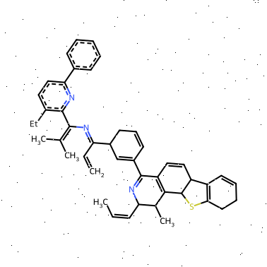 C=C/C(=N\C(=C(C)C)c1nc(-c2ccccc2)ccc1CC)C1C=C(C2=NC(/C=C\C)C(C)C3=C2C=CC2C4=C(CCC=C4)SC32)C=CC1